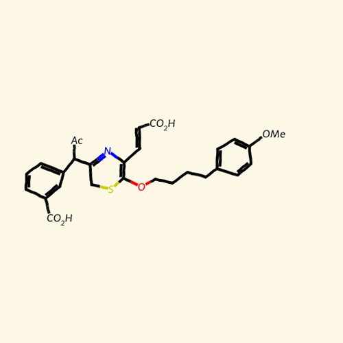 COc1ccc(CCCCOC2=C(/C=C/C(=O)O)N=C(C(C(C)=O)c3cccc(C(=O)O)c3)CS2)cc1